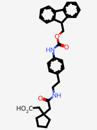 O=C(O)CC1(CC(=O)NCCc2ccc(NC(=O)OCC3c4ccccc4-c4ccccc43)cc2)CCCC1